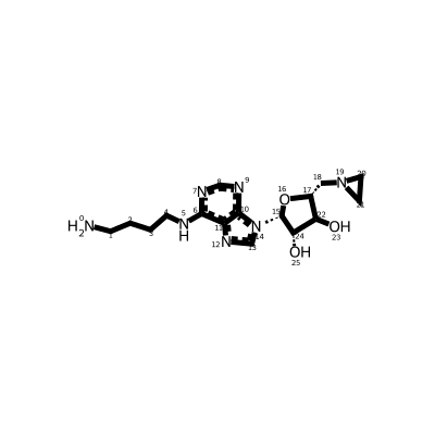 NCCCCNc1ncnc2c1ncn2[C@@H]1O[C@H](CN2CC2)C(O)[C@@H]1O